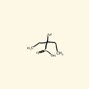 CCC(O)(CC)S(=O)O